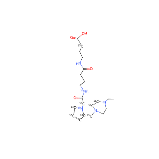 CCN1CCN([13CH2][13CH]2[13CH2][13CH2][13CH2][15N]2[13CH2]C(=O)[15NH]CCCC(=O)NCC[13CH2]C(=O)O)[13CH2][13CH2]1